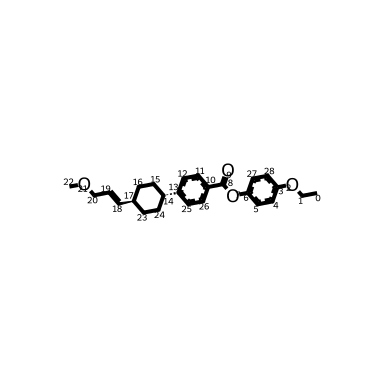 CCOc1ccc(OC(=O)c2ccc([C@H]3CC[C@H](C=CCOC)CC3)cc2)cc1